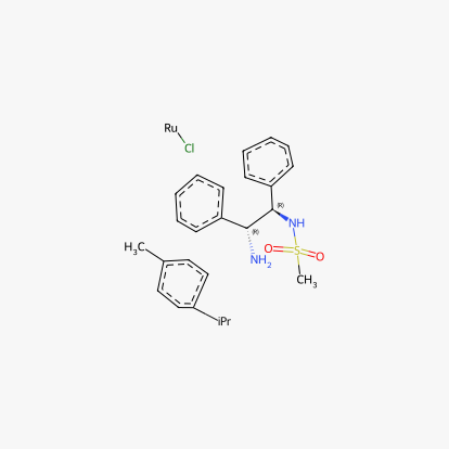 CS(=O)(=O)N[C@H](c1ccccc1)[C@H](N)c1ccccc1.Cc1ccc(C(C)C)cc1.[Cl][Ru]